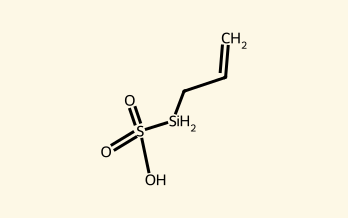 C=CC[SiH2]S(=O)(=O)O